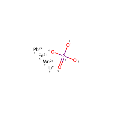 O=P([O-])([O-])[O-].[Fe+2].[Li+].[Mn+2].[Pb+2]